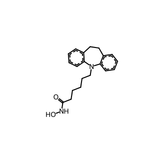 O=C(CCCCCN1c2ccccc2CCc2ccccc21)NO